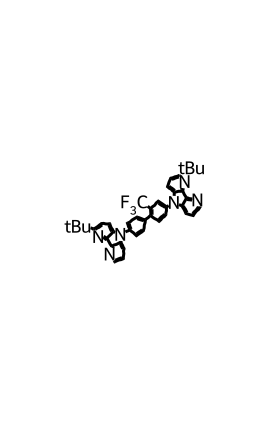 CC(C)(C)c1ccc2c(n1)c1ncccc1n2-c1ccc(-c2ccc(-n3c4cccnc4c4nc(C(C)(C)C)ccc43)cc2C(F)(F)F)cc1